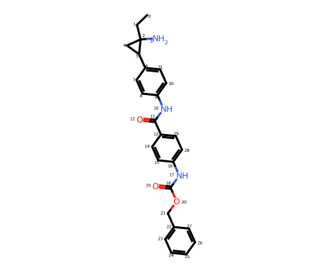 CCC1(N)CC1c1ccc(NC(=O)c2ccc(NC(=O)OCc3ccccc3)cc2)cc1